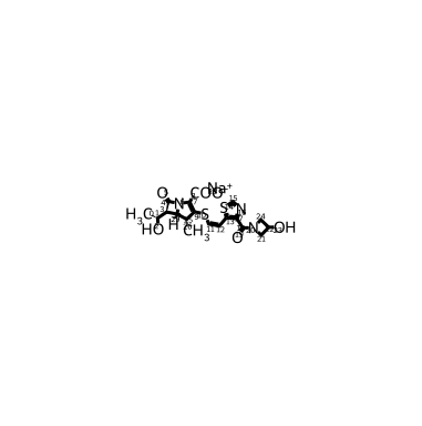 C[C@@H](O)[C@H]1C(=O)N2C(C(=O)[O-])=C(S/C=C\c3scnc3C(=O)N3CC(O)C3)[C@H](C)[C@H]12.[Na+]